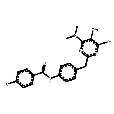 CC(=O)Oc1c(C(C)C)nc(Cc2ccc(NC(=O)c3ccc(C(F)(F)F)cc3)cc2)nc1N(C)C